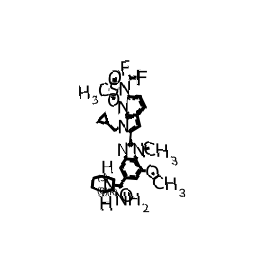 COc1cc(C(=O)N2[C@H]3CC[C@@H]2[C@H](N)C3)cc2nc(-c3cc4ccc(N(C(F)F)S(C)(=O)=O)nc4n3CC3CC3)n(C)c12